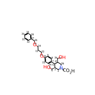 O=C(O)N1C[C@@H](CO)C(c2ccc(OCCCOCc3ccccc3)cc2)[C@@H](CO)C1